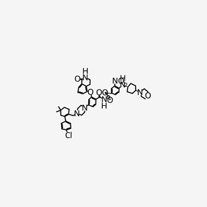 CC1(C)CCC(CN2CCN(c3ccc(C(=O)NS(=O)(=O)c4ccc(N[C@H]5CC[C@H](N6CCOCC6)CC5)c([N+](=O)[O-])c4)c(Oc4cccc5c4CCNC5=O)c3)CC2)=C(c2ccc(Cl)cc2)C1